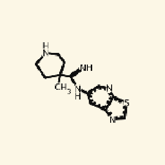 CC1(C(=N)Nc2cnc3scnc3c2)CCNCC1